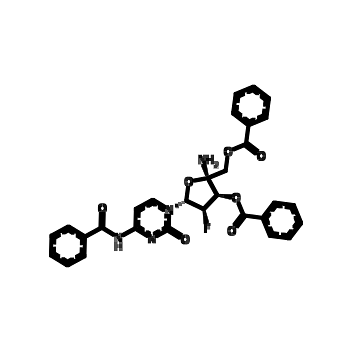 N[C@]1(COC(=O)c2ccccc2)O[C@@H](n2ccc(NC(=O)c3ccccc3)nc2=O)[C@H](F)[C@@H]1OC(=O)c1ccccc1